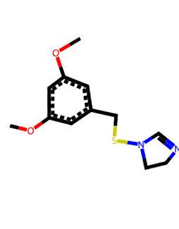 COc1cc(CSN2C=NCC2)cc(OC)c1